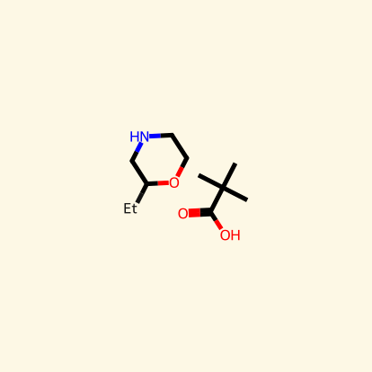 CC(C)(C)C(=O)O.CCC1CNCCO1